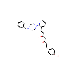 O=C(C=Cc1ccc(O)cc1)CC(=O)C=Cc1cccnc1N1CCN(Cc2ccccc2)CC1